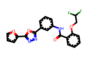 O=C(Nc1cccc(-c2nnc(-c3ccco3)o2)c1)c1ccccc1OCC(F)F